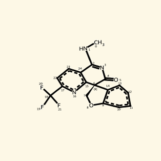 CNC1=NC(=O)[C@@]2(COc3ccccc32)c2nc(C(F)(F)F)ccc21